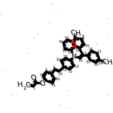 C=CC(=O)Oc1ccc(C=Cc2ccc(N(C=C(c3ccc(C)cc3)c3ccc(C)cc3)c3ccccc3)cc2)cc1